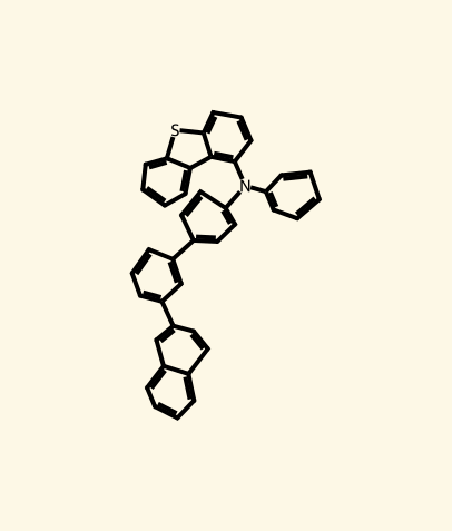 c1ccc(N(c2ccc(-c3cccc(-c4ccc5ccccc5c4)c3)cc2)c2cccc3sc4ccccc4c23)cc1